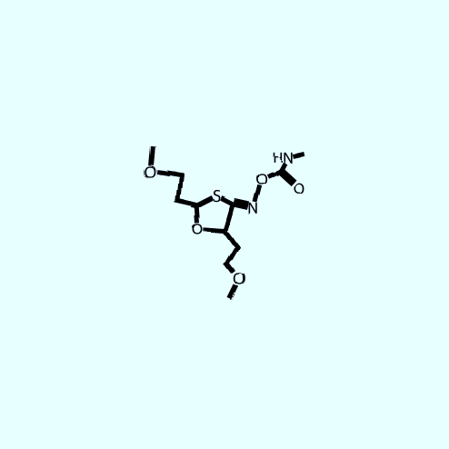 CNC(=O)ON=C1SC(CCOC)OC1CCOC